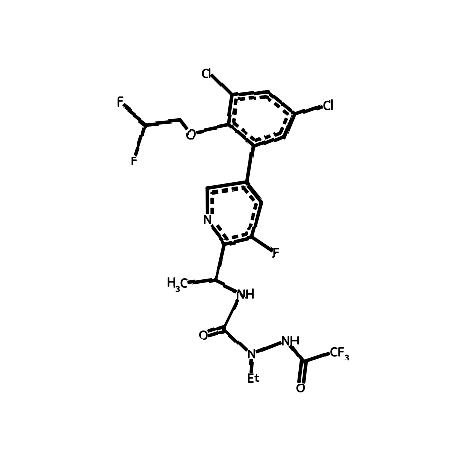 CCN(NC(=O)C(F)(F)F)C(=O)NC(C)c1ncc(-c2cc(Cl)cc(Cl)c2OCC(F)F)cc1F